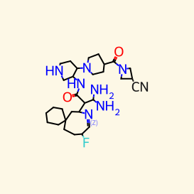 N#CC1CN(C(=O)C2CCN(C3CCNCC3NC(=O)C(C(N)N)C3CC4(CCCCC4)CCC(F)/C=N\3)CC2)C1